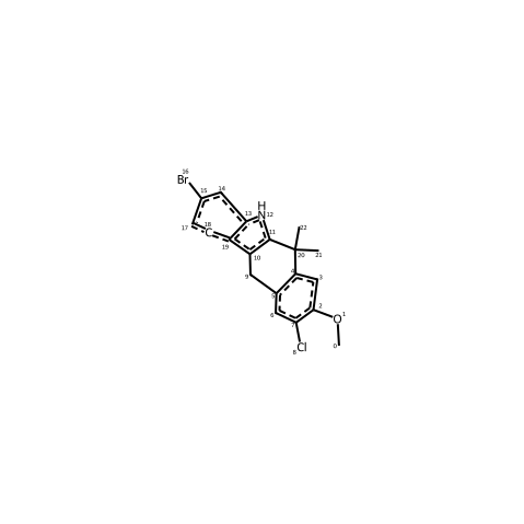 COc1cc2c(cc1Cl)Cc1c([nH]c3cc(Br)ccc13)C2(C)C